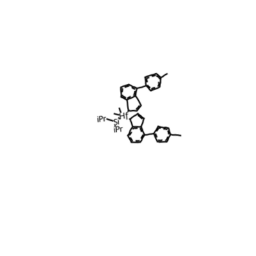 Cc1ccc(-c2cccc3c2C=C[CH]3[Hf]([CH3])([CH3])([CH]2C=Cc3c(-c4ccc(C)cc4)cccc32)=[Si](C(C)C)C(C)C)cc1